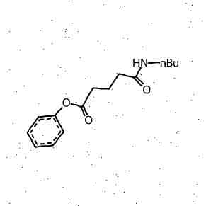 CCCCNC(=O)CCCC(=O)Oc1ccccc1